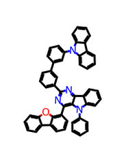 c1ccc(-n2c3ccccc3c3nc(-c4cccc(-c5cccc(-n6c7ccccc7c7ccccc76)c5)c4)nc(-c4cccc5c4oc4ccccc45)c32)cc1